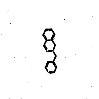 C1=NN(Cc2ccncc2)Cc2ccccc21